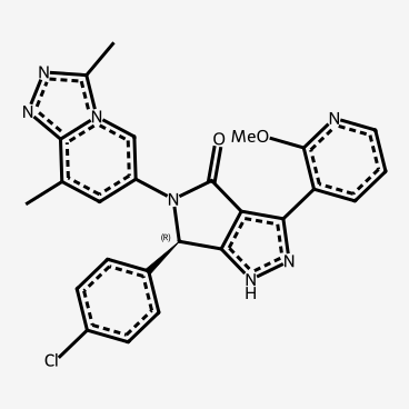 COc1ncccc1-c1n[nH]c2c1C(=O)N(c1cc(C)c3nnc(C)n3c1)[C@@H]2c1ccc(Cl)cc1